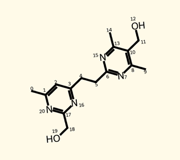 Cc1cc(CCc2nc(C)c(CO)c(C)n2)nc(CO)n1